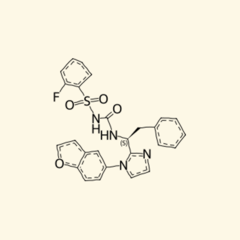 O=C(N[C@@H](Cc1ccccc1)c1nccn1-c1ccc2occc2c1)NS(=O)(=O)c1ccccc1F